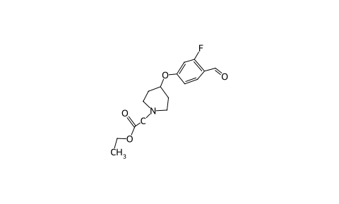 CCOC(=O)CN1CCC(Oc2ccc(C=O)c(F)c2)CC1